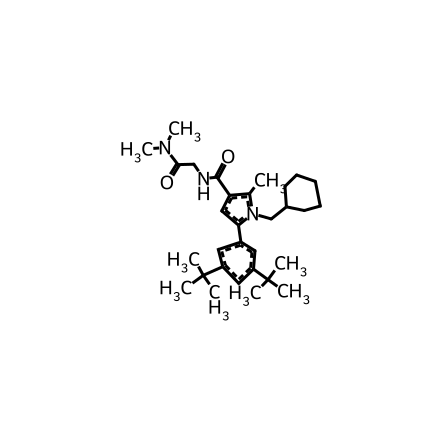 Cc1c(C(=O)NCC(=O)N(C)C)cc(-c2cc(C(C)(C)C)cc(C(C)(C)C)c2)n1CC1CCCCC1